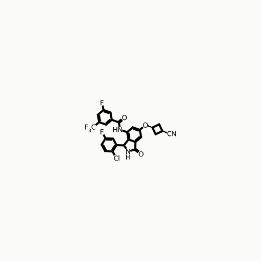 N#C[C@H]1C[C@@H](Oc2cc(NC(=O)c3cc(F)cc(C(F)(F)F)c3)c3c(c2)C(=O)NC3c2cc(F)ccc2Cl)C1